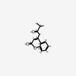 CC(C)C(=O)Cc1cc(=O)oc2ccccc12